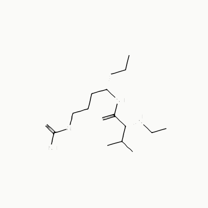 CCC[C@@H](CCCNC(N)=O)NC(=O)[C@H](NCC)C(C)C